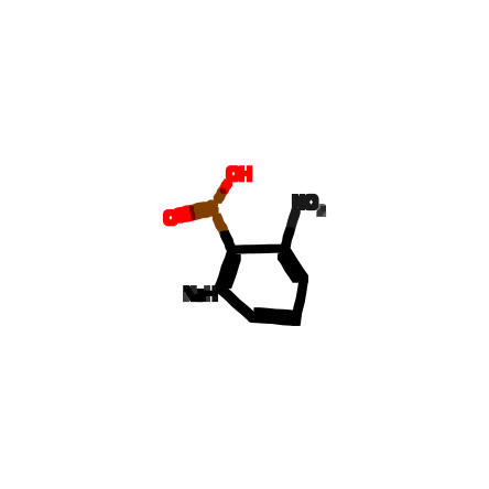 O=[N+]([O-])c1ccccc1S(=O)O.[NaH]